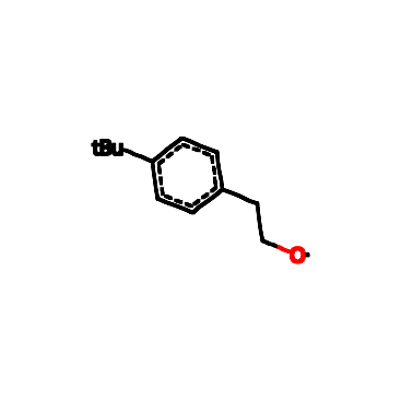 CC(C)(C)c1ccc(CC[O])cc1